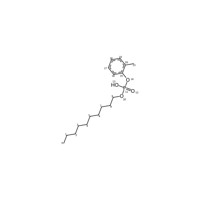 CCCCCCCCCCOP(=O)(O)Oc1ccccc1C